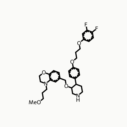 COCCCN1CCOc2ccc(COC3CNCCC3c3ccc(OCCCOc4ccc(F)c(F)c4)cc3)cc21